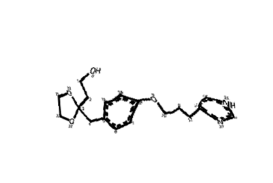 OCCC1(Cc2ccc(OCCCc3c[nH]cn3)cc2)OCCO1